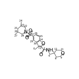 Cc1c(C(=O)NCC2CCOCC2)oc2ccc(S(=O)(=O)N3CC(C)CC(C)C3)cc12